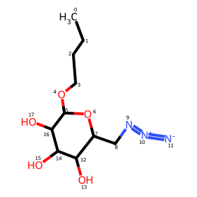 CCCCOC1OC(CN=[N+]=[N-])C(O)C(O)C1O